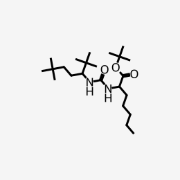 CCCCCC(NC(=O)NC(CCC(C)(C)C)C(C)(C)C)C(=O)OC(C)(C)C